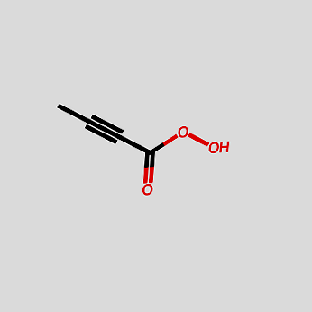 CC#CC(=O)OO